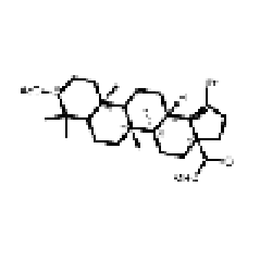 CC(=O)O[C@H]1CC[C@@]2(C)C(CC[C@]3(C)C2CC[C@@H]2C4=C(C(C)C)CC[C@]4(C(O)C=O)CC[C@]23C)C1(C)C